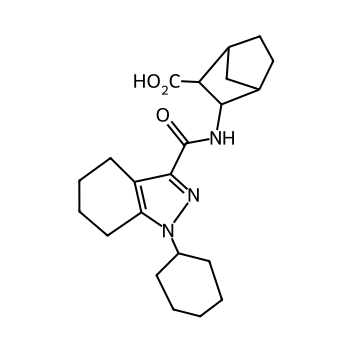 O=C(NC1C2CCC(C2)C1C(=O)O)c1nn(C2CCCCC2)c2c1CCCC2